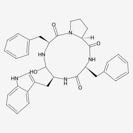 O=C1N[C@@H](Cc2c[nH]c3ccccc23)C(O)N[C@@H](Cc2ccccc2)C(=O)N2CCC[C@H]2C(=O)N[C@H]1Cc1ccccc1